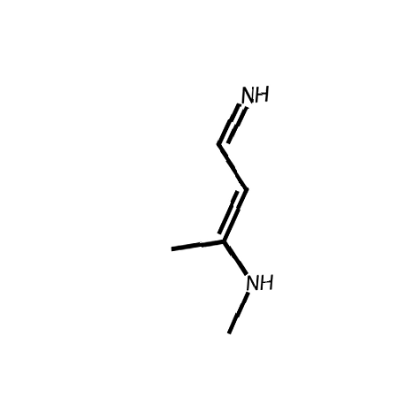 CN/C(C)=C/C=N